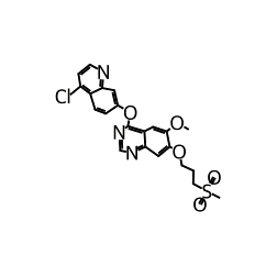 COc1cc2c(Oc3ccc4c(Cl)ccnc4c3)ncnc2cc1OCCCS(C)(=O)=O